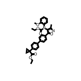 CCOC(=O)N(c1ccccc1OC)c1c(C)noc1-c1ccc(-c2ccc(C3(C(=O)OCC)CC3)cc2)cc1